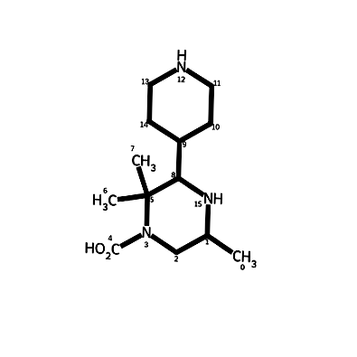 CC1CN(C(=O)O)C(C)(C)C(C2CCNCC2)N1